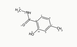 CNC(=O)c1ccc(C)cc1O